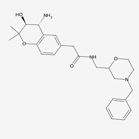 CC1(C)Oc2ccc(CC(=O)NCC3CN(Cc4ccccc4)CCO3)cc2[C@@H](N)[C@@H]1O